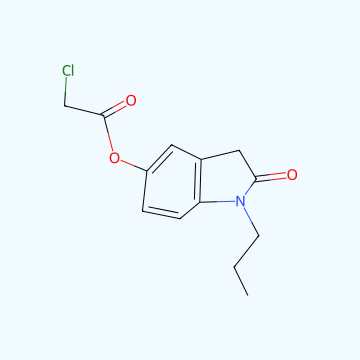 CCCN1C(=O)Cc2cc(OC(=O)CCl)ccc21